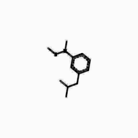 CSN(C)c1cccc(CC(C)C)c1